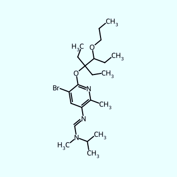 CCCOC(CC)C(CC)(CC)Oc1nc(C)c(N=CN(C)C(C)C)cc1Br